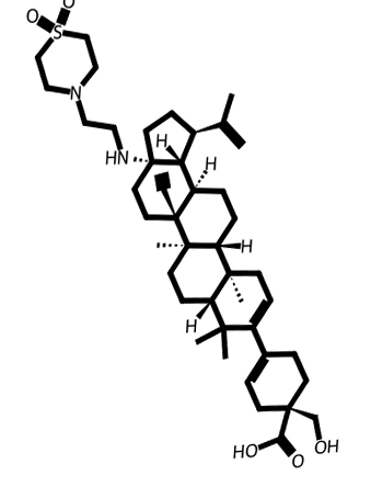 C#C[C@@]12CC[C@@]3(NCCN4CCS(=O)(=O)CC4)CC[C@@H](C(=C)C)[C@@H]3[C@H]1CC[C@@H]1[C@@]3(C)CC=C(C4=CC[C@@](CO)(C(=O)O)CC4)C(C)(C)[C@@H]3CC[C@]12C